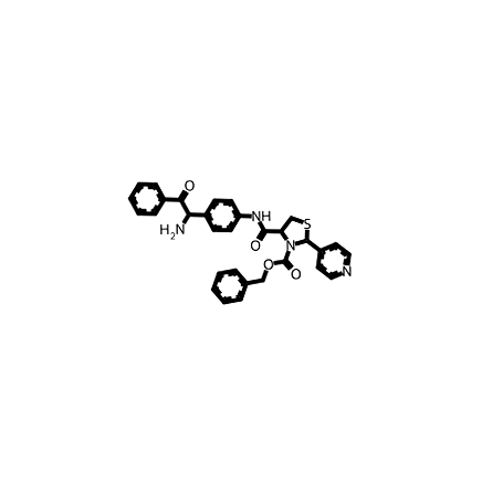 NC(C(=O)c1ccccc1)c1ccc(NC(=O)C2CSC(c3ccncc3)N2C(=O)OCc2ccccc2)cc1